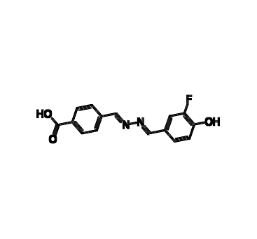 O=C(O)c1ccc(/C=N/N=C/c2ccc(O)c(F)c2)cc1